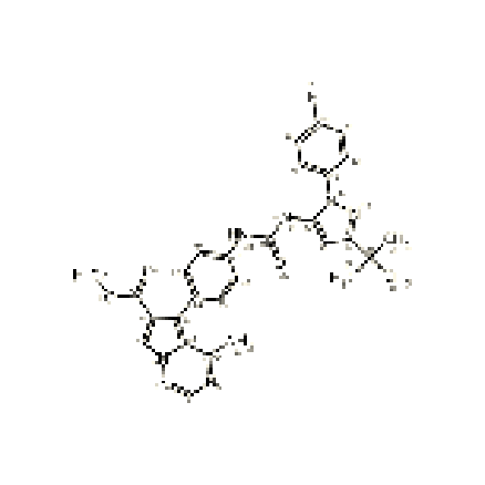 COC(=O)c1cn2ncnc(N)c2c1-c1ccc(NC(=O)Nc2cc(C(C)(C)C)nn2-c2ccc(F)cc2)cc1